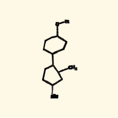 CCCCC1CCC(C2CCC(OCC)CC2)C(C)C1